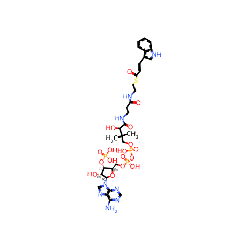 CC(C)(COP(=O)(O)OP(=O)(O)OC[C@H]1O[C@@H](n2cnc3c(N)ncnc32)[C@H](O)[C@@H]1OP(=O)(O)O)C(O)C(=O)NCCC(=O)NCCSC(=O)C=Cc1c[nH]c2ccccc12